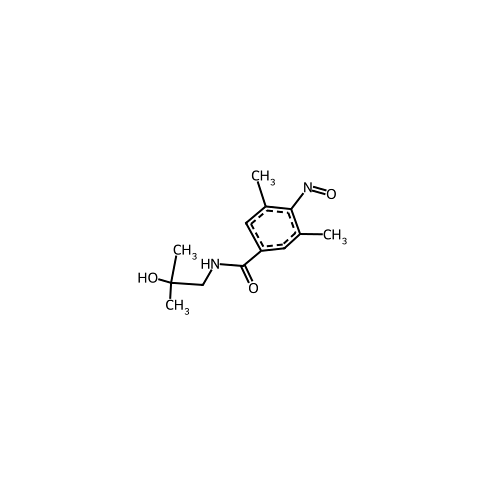 Cc1cc(C(=O)NCC(C)(C)O)cc(C)c1N=O